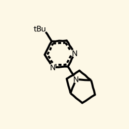 CC(C)(C)c1cnc(N2C3CCC2CC3)nc1